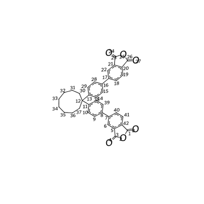 O=C1OC(=O)c2cc(-c3ccc(C4(c5ccc(-c6ccc7c(c6)C(=O)OC7=O)cc5)CCCCCCCC4)cc3)ccc21